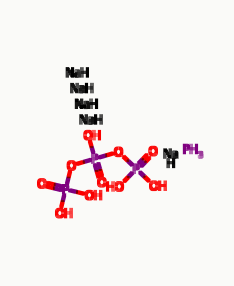 O=P(O)(O)OP(=O)(O)OP(=O)(O)O.P.[NaH].[NaH].[NaH].[NaH].[NaH]